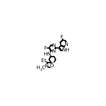 CC[C@@H]1N(C)CO[C@@]12CCC[C@H](Nc1nc(-c3c[nH]c4ncc(F)cc34)ncc1F)C2